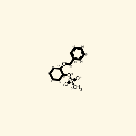 CS(=O)(=O)OC1CCCCC1OCc1ccccc1